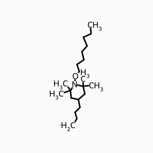 [CH2]CCCC1CC(C)(C)N(OCCCCCCCC)C(C)(C)C1